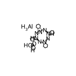 O=[PH](O)Oc1cccc2c3nc4nc(nc5[nH]c(nc6nc(nc([nH]3)c12)-c1ccccc1-6)c1ccccc51)-c1ccccc1-4.[AlH3]